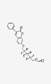 O=COCC(F)(F)C(F)(F)C(F)(F)COc1ccc2cc(-c3ccccc3)c(=O)oc2c1